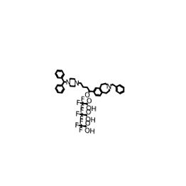 O=C(CCCN1CCN(C(c2ccccc2)c2ccccc2)CC1)c1ccc2c(c1)CCN(Cc1ccccc1)CC2.O=C(O)C(F)(F)F.O=C(O)C(F)(F)F.O=C(O)C(F)(F)F